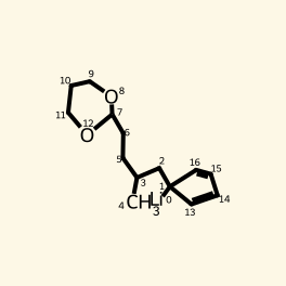 [Li][C]1(CC(C)CCC2OCCCO2)C=CC=C1